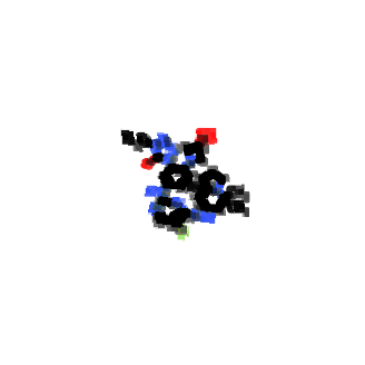 Cn1nnn(-c2cc(Nc3ncc(F)c(N[C@@H]4C[C@@H]5CCCN5C(C)(C)C4)n3)ccc2N2CC(O)C2)c1=O